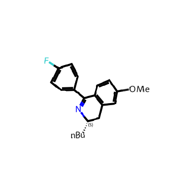 CCCC[C@H]1Cc2cc(OC)ccc2C(c2ccc(F)cc2)=N1